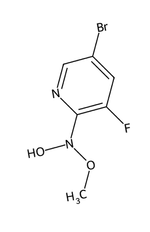 CON(O)c1ncc(Br)cc1F